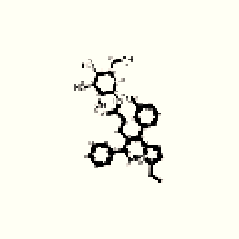 CCc1ccc2c(-c3cccc(Cl)c3)c(CCC(=O)N[C@@H]3O[C@H](CO)[C@H](O)[C@H](O)[C@H]3O)c(-c3ccccc3)nn12